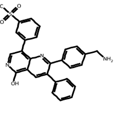 CS(=O)(=O)c1cccc(-c2cnc(O)c3cc(-c4ccccc4)c(-c4ccc(CN)cc4)nc23)c1